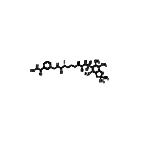 Cc1c(C)c(S(=O)(=O)NC(=O)NCCC[C@@H](I)C(=O)NCc2cccc(C(=O)NO)c2)c(C)c2c1OC(C)(C)C2